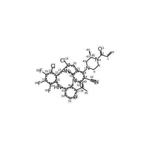 C=CC(=O)N1CCN(c2c(C#N)c(=O)n3c4nc(c(Cl)cc24)c2c(Cl)c(F)c(F)c(F)c2[nH]c2ccnc(C(C)C)c23)C[C@H]1C